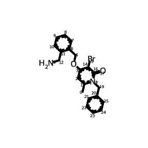 Cc1cc(OCc2ccccc2CN)c(Br)c(=O)n1Cc1ccccc1